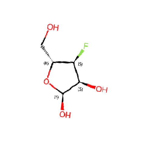 OC[C@H]1O[C@H](O)[C@H](O)[C@@H]1F